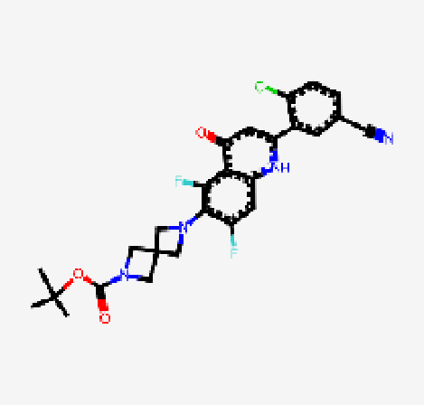 CC(C)(C)OC(=O)N1CC2(C1)CN(c1c(F)cc3[nH]c(-c4cc(C#N)ccc4Cl)cc(=O)c3c1F)C2